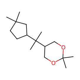 CC1(C)CCC(C(C)(C)C2COC(C)(C)OC2)C1